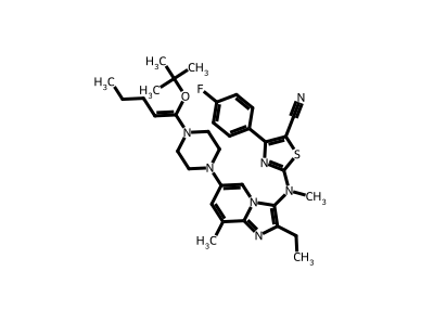 CCC/C=C(\OC(C)(C)C)N1CCN(c2cc(C)c3nc(CC)c(N(C)c4nc(-c5ccc(F)cc5)c(C#N)s4)n3c2)CC1